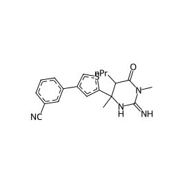 CCCC1C(=O)N(C)C(=N)NC1(C)c1cc(-c2cccc(C#N)c2)cs1